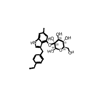 CCc1ccc(Cc2c[nH]c3cc(C)cc(O[C@]4(O)[C@H](O)O[C@H](CO)[C@@H](O)[C@@H]4O)c23)cc1